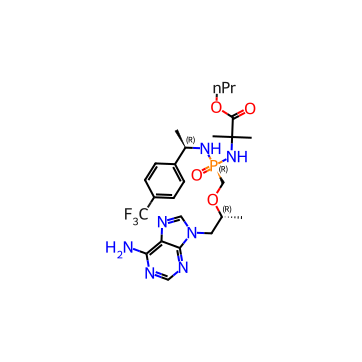 CCCOC(=O)C(C)(C)N[P@@](=O)(CO[C@H](C)Cn1cnc2c(N)ncnc21)N[C@H](C)c1ccc(C(F)(F)F)cc1